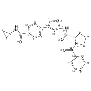 O=C(NC1CC1)c1ccc(-c2csc(NC(=O)[C@@H]3CCCN3C(=O)c3ccccc3)n2)cc1